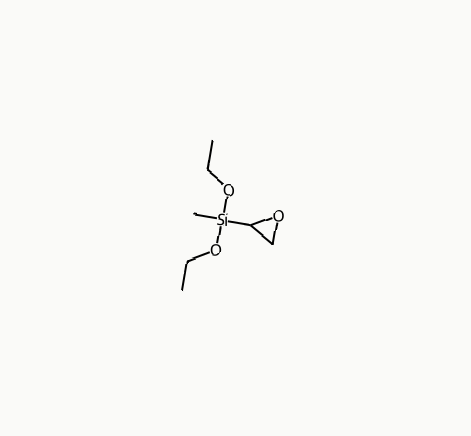 CCO[Si](C)(OCC)C1CO1